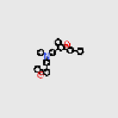 c1ccc(-c2ccc3c(c2)oc2c4ccccc4c(-c4ccc(N(c5ccccc5)c5ccc(-c6cccc7oc8ccccc8c67)cc5)cc4)cc32)cc1